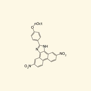 CCCCCCCCOc1ccc(-c2nc3c4cc([N+](=O)[O-])ccc4c4ccc([N+](=O)[O-])cc4c3[nH]2)cc1